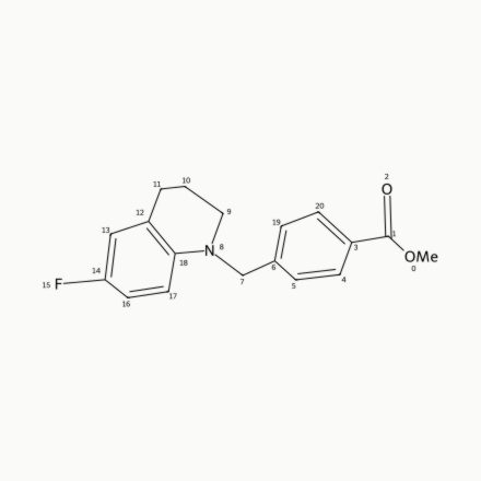 COC(=O)c1ccc(CN2CCCc3cc(F)ccc32)cc1